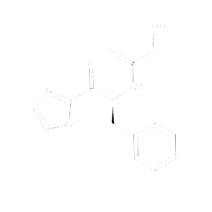 CC(C)(C)OC(=O)N[C@@H](Cc1ccccc1)C(=O)c1ncc[nH]1